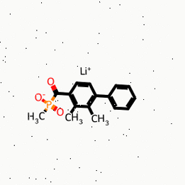 Cc1c(C(=O)P(C)(=O)[O-])ccc(-c2ccccc2)c1C.[Li+]